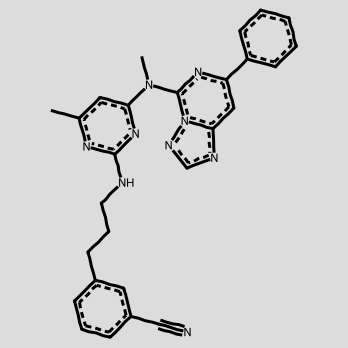 Cc1cc(N(C)c2nc(-c3ccccc3)cc3ncnn23)nc(NCCCc2cccc(C#N)c2)n1